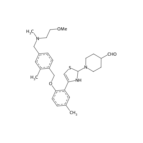 COCCN(C)Cc1ccc(COc2ccc(C)cc2C2=CSC(N3CCC(C=O)CC3)N2)c(C)c1